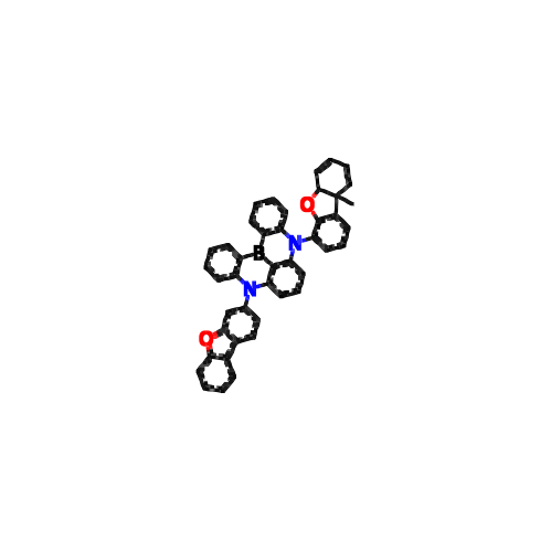 CC12C=CC=CC1Oc1c(N3c4ccccc4B4c5ccccc5N(c5ccc6c(c5)oc5ccccc56)c5cccc3c54)cccc12